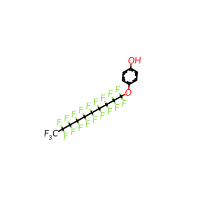 Oc1ccc(OC(F)(F)C(F)(F)C(F)(F)C(F)(F)C(F)(F)C(F)(F)C(F)(F)C(F)(F)C(F)(F)C(F)(F)F)cc1